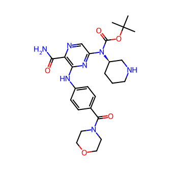 CC(C)(C)OC(=O)N(c1cnc(C(N)=O)c(Nc2ccc(C(=O)N3CCOCC3)cc2)n1)[C@@H]1CCCNC1